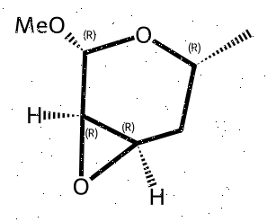 CO[C@@H]1O[C@H](C)C[C@H]2O[C@@H]12